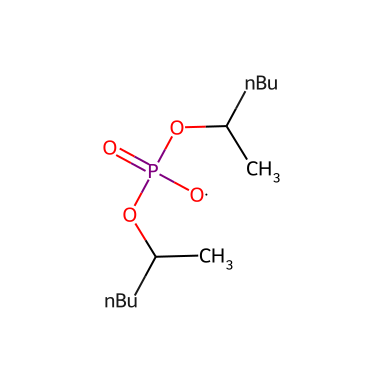 CCCCC(C)OP([O])(=O)OC(C)CCCC